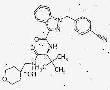 CC(C)(C)[C@H](NC(=O)c1nn(Cc2ccc(C#N)cc2)c2ccccc12)C(=O)NCC1(O)CCOCC1